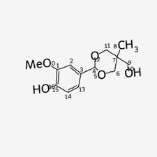 COc1cc(C2OCC(C)(CO)CO2)ccc1O